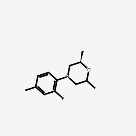 Cc1ccc(N2CC(C)O[C@H](C)C2)c(F)c1